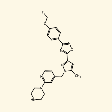 Cc1nc(-c2nc(-c3ccc(OCF)cc3)no2)nn1Cc1ccnc(N2CCNCC2)c1